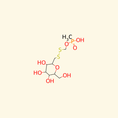 CP(=O)(O)OCSSCC1OC(CO)C(O)C(O)C1O